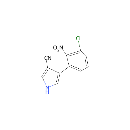 N#Cc1c[nH]cc1-c1cccc(Cl)c1[N+](=O)[O-]